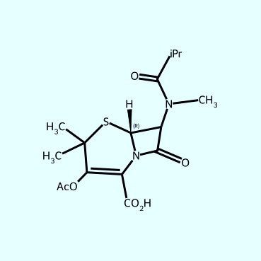 CC(=O)OC1=C(C(=O)O)N2C(=O)C(N(C)C(=O)C(C)C)[C@H]2SC1(C)C